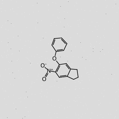 O=[N+]([O-])c1cc2c(cc1Oc1ccccc1)CCC2